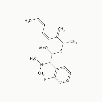 C=C(/C=C\C=C/C)[C@H](C)OC(OC)[C@H](c1ccccc1F)N(C)C